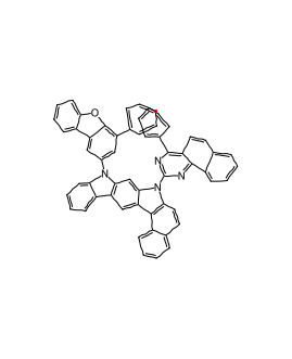 c1ccc(-c2nc(-n3c4cc5c(cc4c4c6ccccc6ccc43)c3ccccc3n5-c3cc(-c4ccccc4)c4oc5ccccc5c4c3)nc3c2ccc2ccccc23)cc1